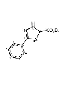 CCOC(=O)C1NN=C(c2ccccc2)S1